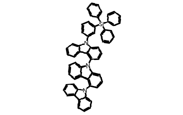 c1ccc([Si](c2ccccc2)(c2ccccc2)c2cccc(-n3c4ccccc4c4c(-n5c6ccccc6c6c(-n7c8ccccc8c8ccccc87)cccc65)cccc43)c2)cc1